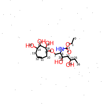 CCOC(=O)NC(COC1C/C=C\CC(O)C(O)C1O)C(O)CC(O)CC